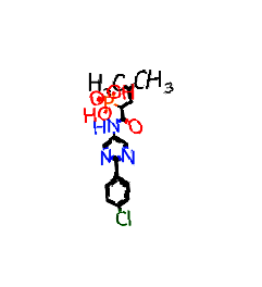 CC(C)CC(C(=O)Nc1cnc(-c2ccc(Cl)cc2)nc1)P(=O)(O)O